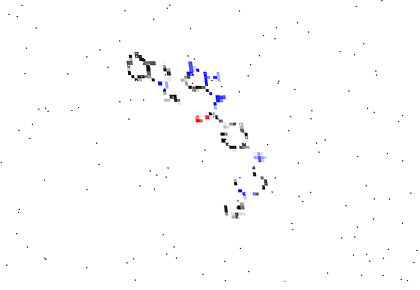 CN1CCC(Nc2ccc(C(=O)Nc3cc(-c4cc5ccccc5n4C)n[nH]3)cc2)CC1